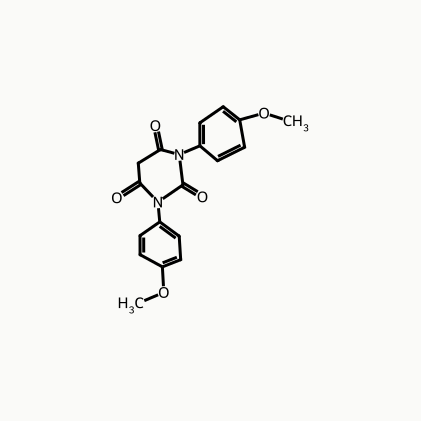 COc1ccc(N2C(=O)CC(=O)N(c3ccc(OC)cc3)C2=O)cc1